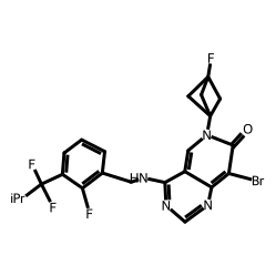 CC(C)C(F)(F)c1cccc(CNc2ncnc3c(Br)c(=O)n(C45CC(F)(C4)C5)cc23)c1F